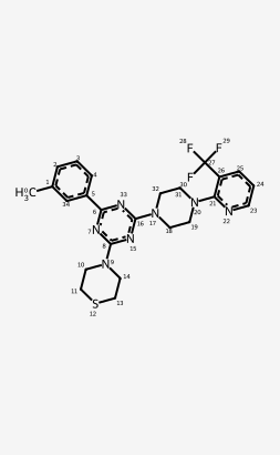 Cc1cccc(-c2nc(N3CCSCC3)nc(N3CCN(c4ncccc4C(F)(F)F)CC3)n2)c1